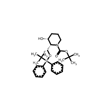 CC(C)(C)OC(=O)N1CCC[C@@H](O)[C@H]1CO[Si](c1ccccc1)(c1ccccc1)C(C)(C)C